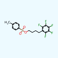 Cc1ccc(S(=O)(=O)OCCCCc2c(F)c(F)c(F)c(F)c2F)cc1